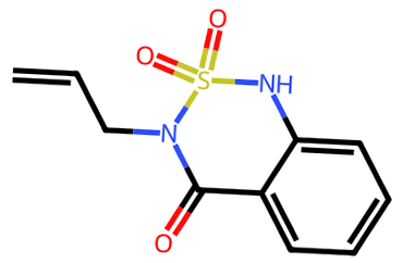 C=CCN1C(=O)c2ccccc2NS1(=O)=O